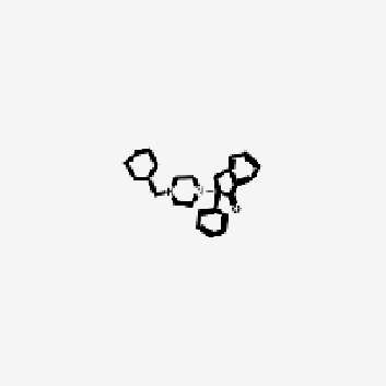 O=C1c2ccccc2C[C@@]1(c1ccccc1)N1CCN(CC2CCCCC2)CC1